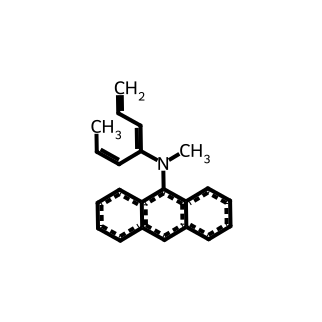 C=C/C=C(\C=C/C)N(C)c1c2ccccc2cc2ccccc12